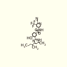 C=C1C=C(C(=C)CCC)N=C(c2cc(S(=O)(=O)Nc3cnc(C#N)c(C(F)(F)F)c3)ccc2O)N1